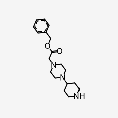 O=C(CN1CCN(C2CCNCC2)CC1)OCc1ccccc1